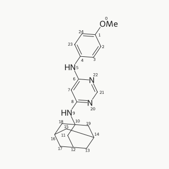 COc1ccc(Nc2cc(NC34CC5CC(CC(C5)C3)C4)ncn2)cc1